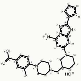 Cc1cc(C(=O)O)ccc1N1CCN(CC2CCCN(c3nc(N)n4nc(-c5ccco5)nc4n3)C2)CC1.Cl